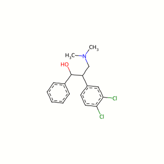 CN(C)CC(c1ccc(Cl)c(Cl)c1)C(O)c1ccccc1